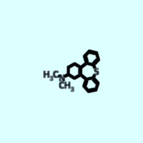 CN(C)C1CCC2=C(C1)c1ccccc1Sc1ccccc12